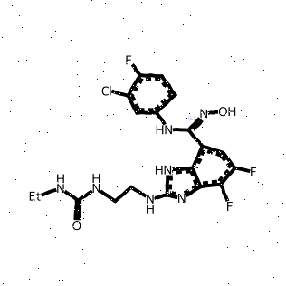 CCNC(=O)NCCNc1nc2c(F)c(F)cc(/C(=N\O)Nc3ccc(F)c(Cl)c3)c2[nH]1